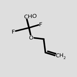 C=CCOC(F)(F)C=O